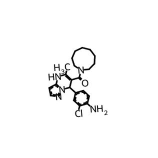 CC1=C(C(=O)N2CCCCCCCC2)C(c2ccc(N)c(Cl)c2)n2nccc2N1